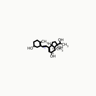 CC1=C(/C=C/C2=C[C@H](O)C[C@@]3(C)[C@H]2CC[C@]3(O)[C@H](C)O)C[C@@H](O)CC1